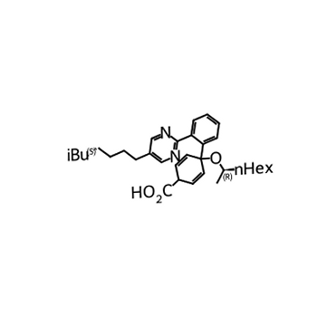 CCCCCC[C@@H](C)OC1(c2ccccc2-c2ncc(CCCC[C@@H](C)CC)cn2)C=CC(C(=O)O)C=C1